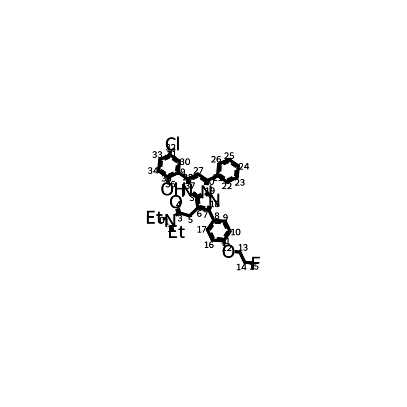 CCN(CC)C(=O)Cc1c(-c2ccc(OCCF)cc2)nn2c(-c3ccccc3)cc(-c3cc(Cl)ccc3O)nc12